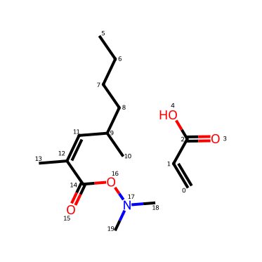 C=CC(=O)O.CCCCC(C)C=C(C)C(=O)ON(C)C